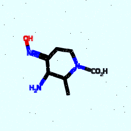 CC1C(N)C(=NO)CCN1C(=O)O